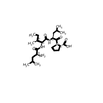 CC[C@H](C)[C@H](NC(=O)[C@@H](N)CC(C)C)C(=O)N[C@@H](CC(C)C)C(=O)N1CCC[C@H]1C(=O)O